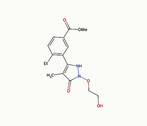 CCc1ccc(C(=O)OC)cc1-c1[nH]n(OCCO)c(=O)c1C